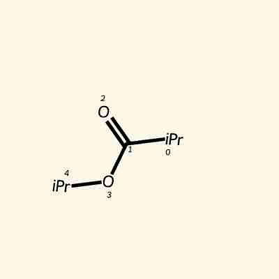 [CH2]C(C)C(=O)OC(C)C